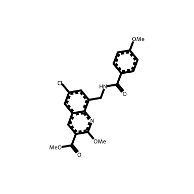 COC(=O)c1cc2cc(Cl)cc(CNC(=O)c3ccc(OC)cc3)c2nc1OC